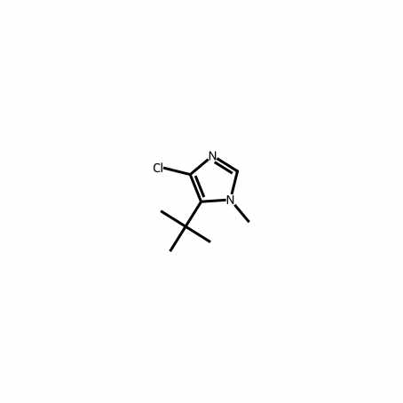 Cn1cnc(Cl)c1C(C)(C)C